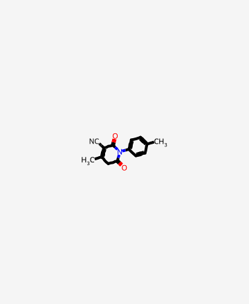 CC1=C(C#N)C(=O)N(c2ccc(C)cc2)C(=O)C1